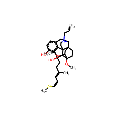 C=CCN1CCC23c4c5ccc(O)c4OC2C2(OC)CCC3(CC2C(O)(CC)CC/C(C)=C/C=C\SC)C1C5